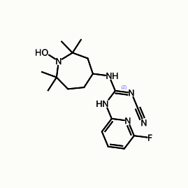 CC1(C)CCC(N/C(=N/C#N)Nc2cccc(F)n2)CC(C)(C)N1O